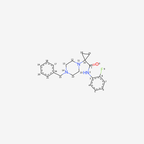 O=C(Nc1ccccc1F)C1(N2CCN(Cc3ccccc3)CC2)CC1